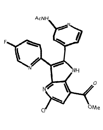 COC(=O)c1cc(Cl)nc2c(-c3ccc(F)cn3)c(-c3ccnc(NC(C)=O)c3)[nH]c12